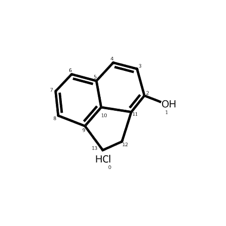 Cl.Oc1ccc2cccc3c2c1CC3